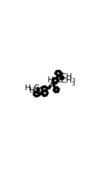 C/C=C\C(=C/CN(C1=CC=C(C2=C(C(C)(C)C)C=CCC2)CC1)c1ccccc1)C1=CC(C2=C(CC)CCCC2)=CCC1